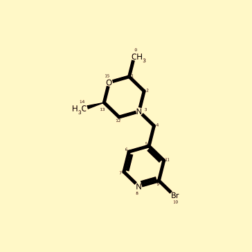 CC1CN(Cc2ccnc(Br)c2)C[C@@H](C)O1